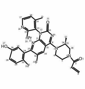 C=CC(=O)N1CCN(c2nc(=O)n(-c3c(C)ccnc3CCC)c3nc(-c4cc(O)ccc4F)c(F)cc23)[C@@H](C)C1